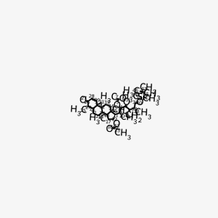 C=C(C(=O)[C@H](OC(C)=O)[C@@H](C)[C@H]1[C@@H](OC(C)=O)C[C@@]2(C)C3CCC4[C@H](C)C(=O)C=C[C@@]45C[C@@]35CC[C@]12C)[C@@H](C)CO[Si](C)(C)C(C)(C)C